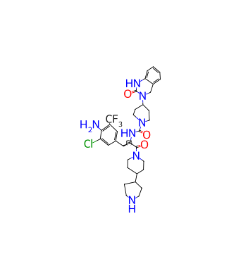 Nc1c(Cl)cc(C[C@@H](NC(=O)N2CCC(N3Cc4ccccc4NC3=O)CC2)C(=O)N2CCC(C3CCNCC3)CC2)cc1C(F)(F)F